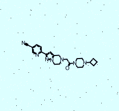 N#Cc1ccc(-c2cc3n(n2)CCN(CC(=O)N2CCN(C4CCC4)CC2)C3)nc1